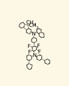 CC1(C)c2ccccc2-c2ccc(N(c3ccc(-c4c(F)c(F)c(N(c5ccc(-c6ccccc6)cc5)c5cccc(-c6ccccc6)c5)c(F)c4F)cc3)c3cccc4ccccc34)cc21